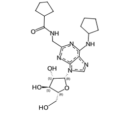 O=C(NCc1nc(NC2CCCC2)c2ncn([C@@H]3O[C@H](CO)[C@@H](O)[C@@H]3O)c2n1)C1CCCC1